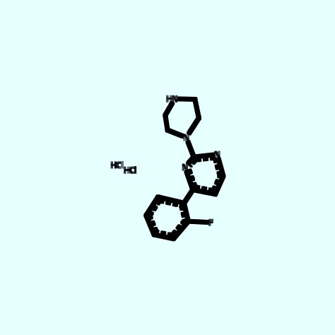 Cl.Cl.Fc1ccccc1-c1ccnc(N2CCNCC2)n1